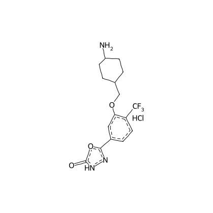 Cl.NC1CCC(COc2cc(-c3n[nH]c(=O)o3)ccc2C(F)(F)F)CC1